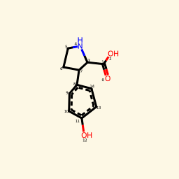 O=C(O)C1NCCC1c1ccc(O)cc1